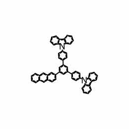 c1ccc2cc3cc(-c4cc(-c5ccc(-n6c7ccccc7c7ccccc76)cc5)cc(-c5ccc(-n6c7ccccc7c7ccccc76)cc5)c4)ccc3cc2c1